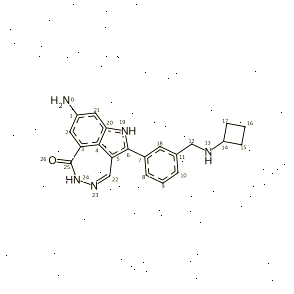 Nc1cc2c3c(c(-c4cccc(CNC5CCC5)c4)[nH]c3c1)C=NNC2=O